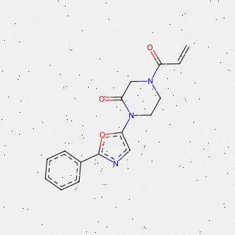 C=CC(=O)N1CCN(c2cnc(-c3ccccc3)o2)C(=O)C1